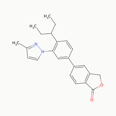 CCC(CC)c1ccc(-c2ccc3c(c2)COC3=O)cc1-n1ccc(C)n1